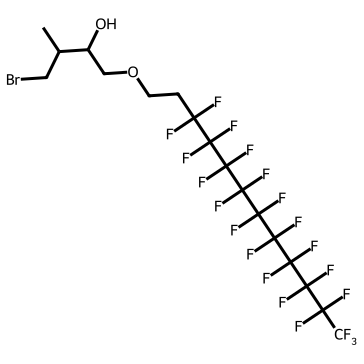 CC(CBr)C(O)COCCC(F)(F)C(F)(F)C(F)(F)C(F)(F)C(F)(F)C(F)(F)C(F)(F)C(F)(F)C(F)(F)C(F)(F)F